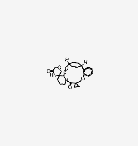 O=C1COCC2(CCCN3C(=O)C4(CC4)COc4ccccc4[C@H]4CC[C@H](CC4)OCC32)N1